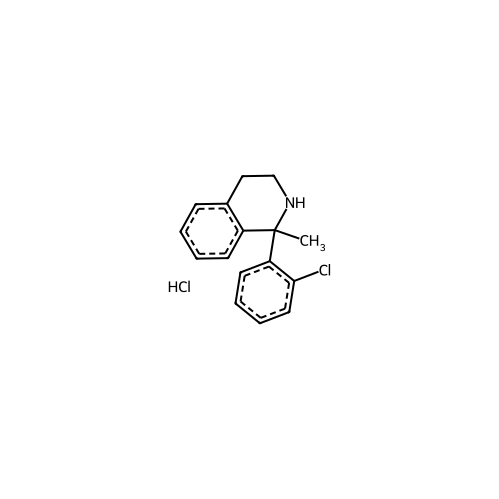 CC1(c2ccccc2Cl)NCCc2ccccc21.Cl